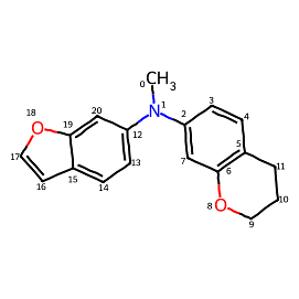 CN(c1ccc2c(c1)OCCC2)c1ccc2ccoc2c1